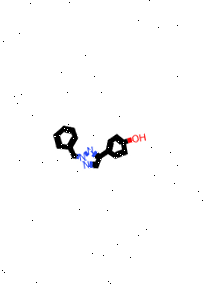 Oc1ccc(-c2cnn(Cc3ccccc3)n2)cc1